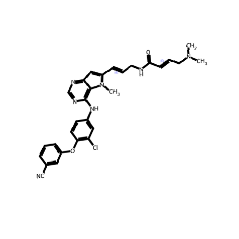 CN(C)C/C=C/C(=O)NC/C=C/c1cc2ncnc(Nc3ccc(Oc4cccc(C#N)c4)c(Cl)c3)c2n1C